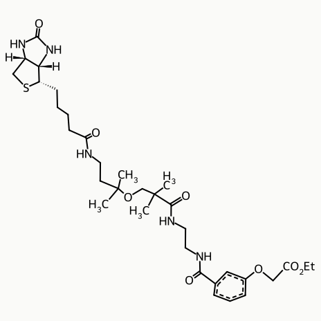 CCOC(=O)COc1cccc(C(=O)NCCNC(=O)C(C)(C)COC(C)(C)CCNC(=O)CCCC[C@@H]2SC[C@@H]3NC(=O)N[C@@H]32)c1